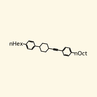 CCCCCCCCc1ccc(C#CC2CCC(c3ccc(CCCCCC)cc3)CC2)cc1